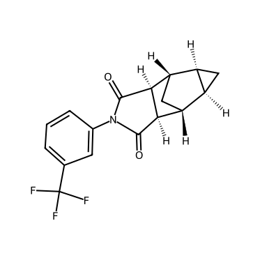 O=C1[C@@H]2[C@@H]3C[C@@H]([C@H]4C[C@H]43)[C@@H]2C(=O)N1c1cccc(C(F)(F)F)c1